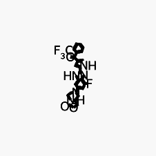 O=C(c1c[nH]c(-c2nc3c(F)cc(N4CCN5C(=O)OC[C@@H]5C4)cc3[nH]2)c1)c1ccccc1C(F)(F)F